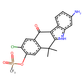 CC1(C)c2cc(OS(=O)(=O)C(F)(F)F)c(Cl)cc2C(=O)c2c1[nH]c1cc(N)ccc21